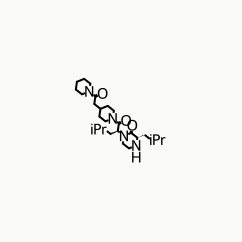 CC(C)C[C@@H]1NCCN([C@@H](CC(C)C)C(=O)N2CCC(CC(=O)N3CCCCC3)CC2)C1=O